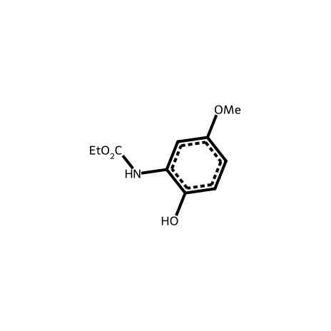 CCOC(=O)Nc1cc(OC)ccc1O